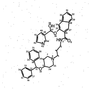 O=C(NCCCN1CCC(OC(c2ccccc2)c2ccccc2)CC1)c1cc2ccccc2cc1OC(O)c1cccnc1